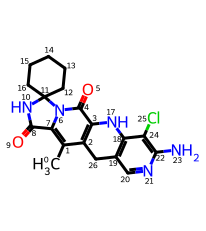 Cc1c2c(c(=O)n3c1C(=O)NC31CCCCC1)Nc1c(cnc(N)c1Cl)C2